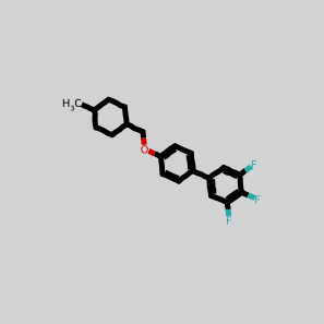 CC1CCC(COc2ccc(-c3cc(F)c(F)c(F)c3)cc2)CC1